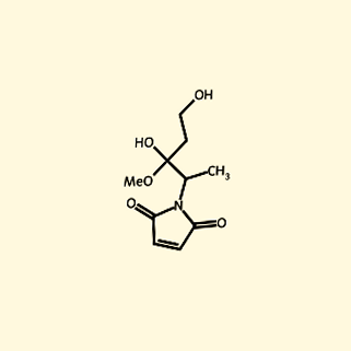 COC(O)(CCO)C(C)N1C(=O)C=CC1=O